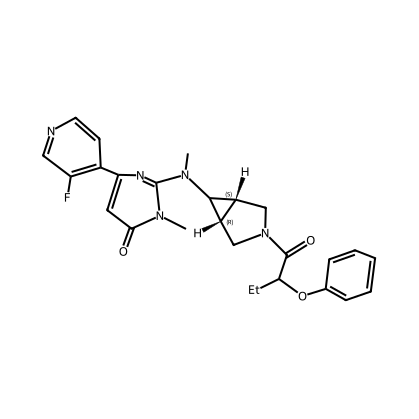 CCC(Oc1ccccc1)C(=O)N1C[C@@H]2C(N(C)c3nc(-c4ccncc4F)cc(=O)n3C)[C@@H]2C1